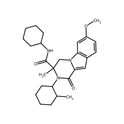 COc1ccc2cc3n(c2c1)CC(C)(C(=O)NC1CCCCC1)N(C1CCCCC1C)C3=O